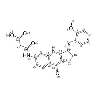 COc1ccccc1/C=C1\CCn2c1nc1cc(NC(=O)CC(=O)O)ccc1c2=O